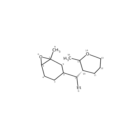 CCC(C1CCC2OC2(C)C1)[C@H]1CCCOC1C